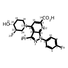 CC(C)c1nn(-c2ccc(F)cc2)c2nc(C(=O)O)cc(N3CC[C@@H](O)[C@H](F)C3)c12